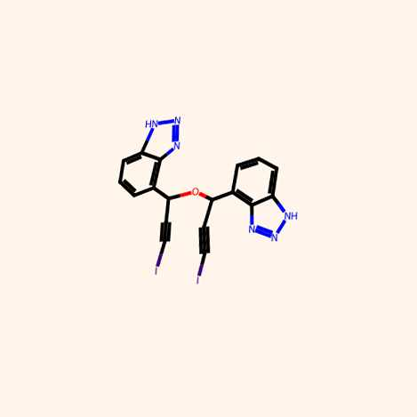 IC#CC(OC(C#CI)c1cccc2[nH]nnc12)c1cccc2[nH]nnc12